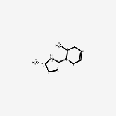 CC1CC=CC[C@H]1[C@@H]1CC[C@H](C)N1